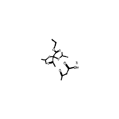 CC(=O)CC(=O)O.CCOC(=O)C(OC(C)C)(OC(C)C)C(C)=O.[Ti]